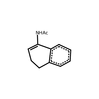 CC(=O)NC1=CCCc2ccccc21